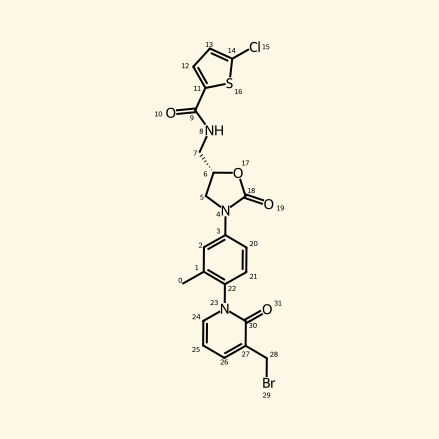 Cc1cc(N2C[C@H](CNC(=O)c3ccc(Cl)s3)OC2=O)ccc1-n1cccc(CBr)c1=O